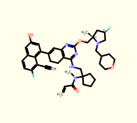 C#Cc1c(F)ccc2cc(O)cc(C3=Cc4nc(OC[C@]5(C)C[C@@H](F)CN5CC5CCOCC5)nc(NCC5(N(C)C(=O)C=C)CCCC5)c4CC3)c12